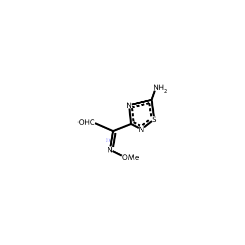 CO/N=C(/[C]=O)c1nsc(N)n1